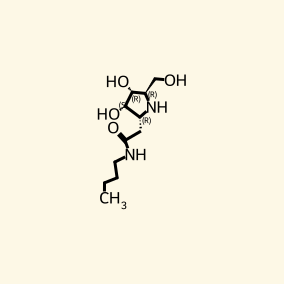 CCCCNC(=O)C[C@H]1N[C@H](CO)[C@@H](O)[C@H]1O